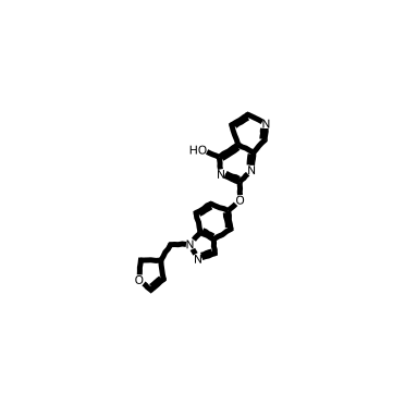 Oc1nc(Oc2ccc3c(cnn3CC3C=COC3)c2)nc2cnccc12